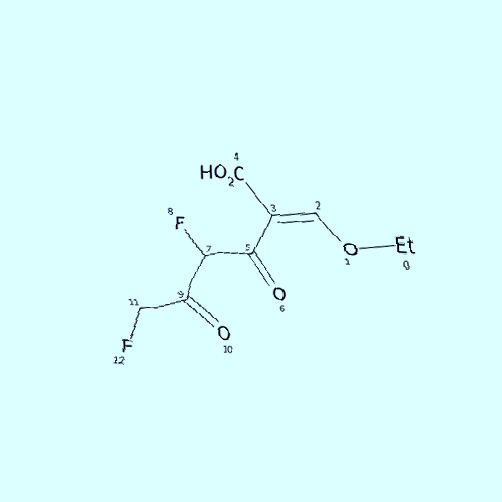 CCOC=C(C(=O)O)C(=O)C(F)C(=O)CF